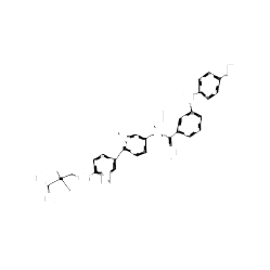 CC(C)(COc1ccc(-c2ccc(NC(=O)c3cccc(Oc4ccc(F)cc4)c3)cn2)cn1)C(=O)O